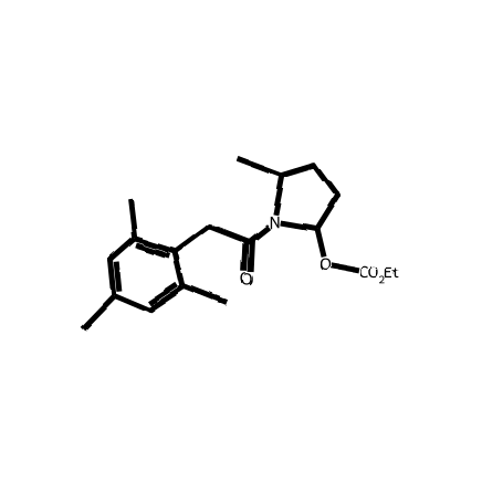 CCOC(=O)OC1CCC(C)N1C(=O)Cc1c(C)cc(C)cc1C